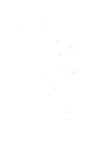 COc1cncc(-c2ccnc(Nc3cc(NC(=O)c4sc(C5CCN(C)CC5)nc4C)ccc3C)n2)c1